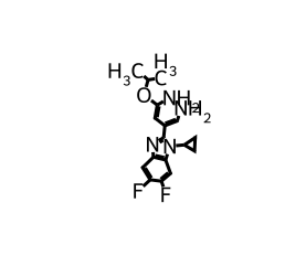 CC(C)O/C(N)=C/C(=C\N)c1nc2cc(F)c(F)cc2n1C1CC1